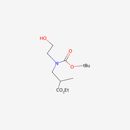 CCOC(=O)C(C)CN(CCO)C(=O)OC(C)(C)C